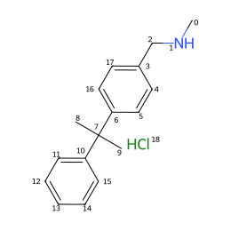 CNCc1ccc(C(C)(C)c2ccccc2)cc1.Cl